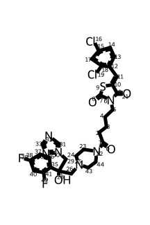 O=C(CCCCN1C(=O)SC(=Cc2ccc(Cl)cc2Cl)C1=O)N1CCN(CC(O)(Cn2cncn2)c2ccc(F)cc2F)CC1